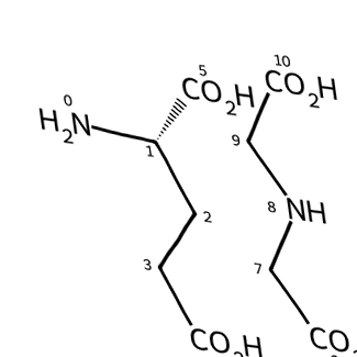 N[C@@H](CCC(=O)O)C(=O)O.O=C(O)CNCC(=O)O